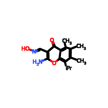 Cc1c(C)c(C)c2c(=O)c(C=NO)c(N)oc2c1C(C)C